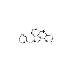 c1cncc(CN2Cc3c4ccccc4nc4cccc2c34)c1